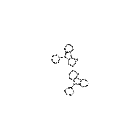 c1ccc(-n2c3ccccc3c3cc(-c4cnc5c6ccccc6n(-c6ccccc6)c5c4)ccc32)cc1